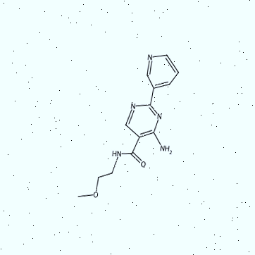 COCCNC(=O)c1cnc(-c2cccnc2)nc1N